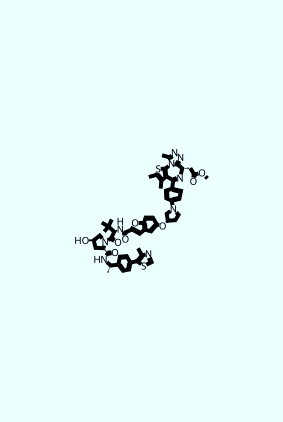 COC(=O)C[C@@H]1N=C(c2ccc(N3CC[C@@H](Oc4ccc5oc(C(=O)N[C@H](C(=O)N6C[C@H](O)C[C@H]6C(=O)N[C@@H](C)c6ccc(-c7scnc7C)cc6)C(C)(C)C)cc5c4)C3)cc2)c2c(sc(C)c2C)-n2c(C)nnc21